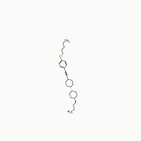 CCCCCOc1ccc(C#CC2CCC([C@H]3CC[C@H](CCCC)CC3)CC2)cc1